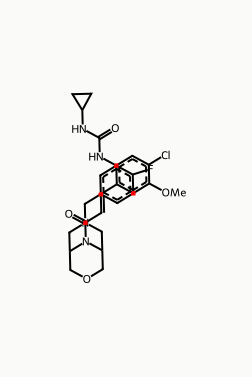 COc1cc(C=CC(=O)N2C3COCC2CN(Cc2ccc(F)cc2)C3)c(NC(=O)NC2CC2)cc1Cl